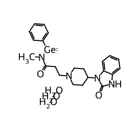 C[N]([Ge][c]1ccccc1)C(=O)CCN1CCC(n2c(=O)[nH]c3ccccc32)CC1.O.O.O